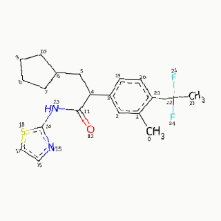 Cc1cc(C(CC2CCCC2)C(=O)Nc2nccs2)ccc1C(C)(F)F